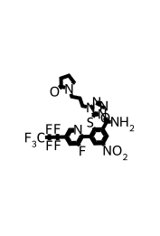 NC(=O)c1cc([N+](=O)[O-])cc(-c2ncc(C(F)(F)C(F)(F)C(F)(F)F)cc2F)c1Sc1nnnn1CCCN1CCCC1=O